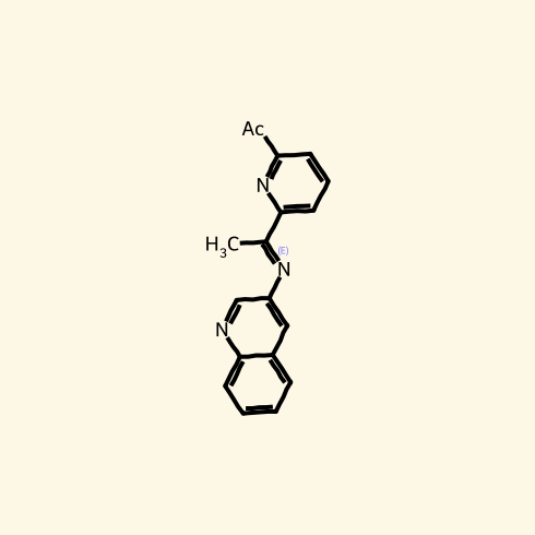 CC(=O)c1cccc(/C(C)=N/c2cnc3ccccc3c2)n1